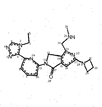 CCn1cnnc1-c1cccc(N2Cc3c(cc(N4CCC4)nc3CNC)C2=O)n1